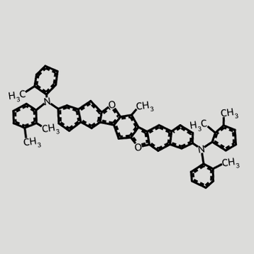 Cc1ccccc1N(c1ccc2cc3c(cc2c1)oc1c(C)c2c(cc13)oc1cc3cc(N(c4ccccc4C)c4cccc(C)c4C)ccc3cc12)c1cccc(C)c1C